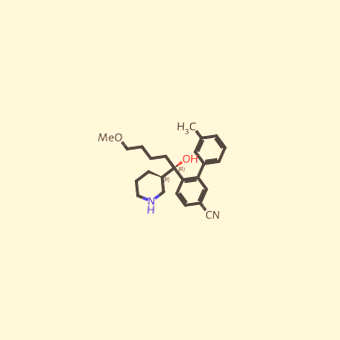 COCCCC[C@](O)(c1ccc(C#N)cc1-c1cccc(C)c1)[C@@H]1CCCNC1